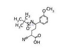 COc1cccc(/C(CCC(C#N)C(=O)O)=N/[S@+]([O-])C(C)(C)C)c1